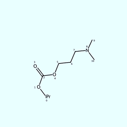 CC(C)OC(=O)OCCCN(C)C